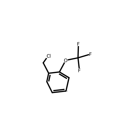 FC(F)(F)Oc1c[c]ccc1CCl